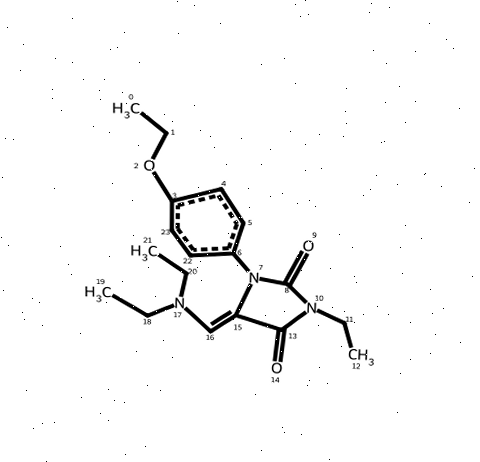 CCOc1ccc(N2C(=O)N(CC)C(=O)/C2=C/N(CC)CC)cc1